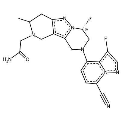 CC1Cc2nn3c(c2CN1CC(N)=O)CN(c1ccc(C#N)n2ncc(F)c12)C[C@H]3C